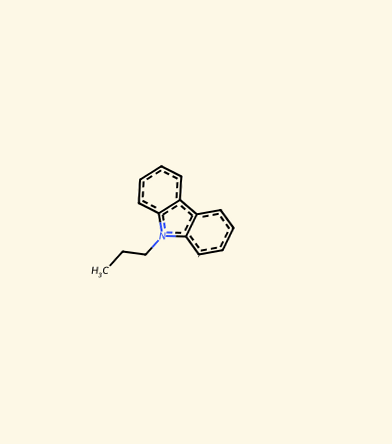 CCCn1c2[c]cccc2c2ccccc21